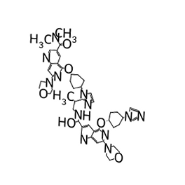 CC(CNC(O)c1cnc2cc(N3CCOCC3)nc(O[C@H]3CC[C@@H](n4ccnc4)CC3)c2c1)c1nccn1[C@H]1CC[C@@H](Oc2nc(N3CCOCC3)cc3ncc(C(=O)N(C)C)cc23)CC1